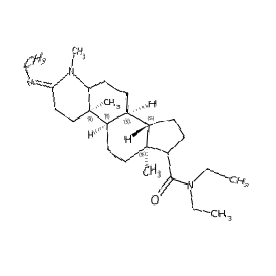 CCN(CC)C(=O)C1CC[C@H]2[C@@H]3CCC4N(C)C(=NC)CC[C@]4(C)[C@@H]3CC[C@]12C